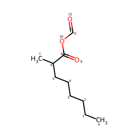 CCCCCCC(C)C(=O)OC=O